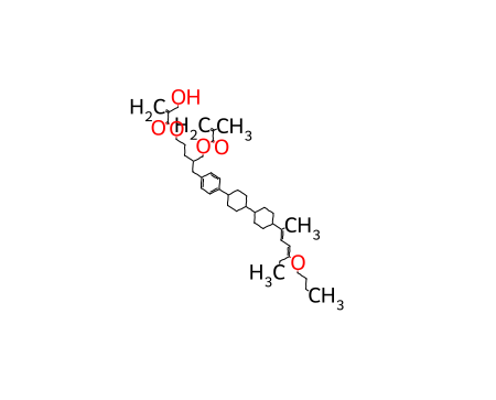 C=C(C)C(=O)OCC(CCCOC(=O)C(=C)CO)Cc1ccc(C2CCC(C3CCC(/C(C)=C/C=C(\CC)OCCCC)CC3)CC2)cc1